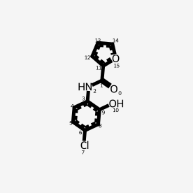 O=C(Nc1ccc(Cl)cc1O)c1ccco1